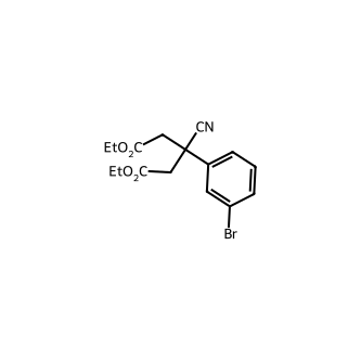 CCOC(=O)CC(C#N)(CC(=O)OCC)c1cccc(Br)c1